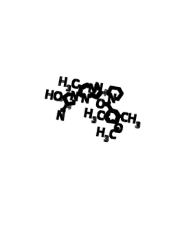 COc1cc(C)c(C(=O)N2CCCC[C@H]2c2cc3nc(N4C[C@@H](C#N)[C@@H](O)C4)c(C)cn3n2)cc1C